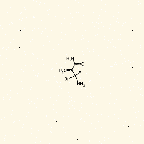 C=C(C(N)=O)C(N)(CC)C(C)CC